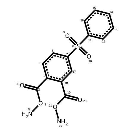 NOC(=O)c1ccc(S(=O)(=O)c2ccccc2)cc1C(=O)ON